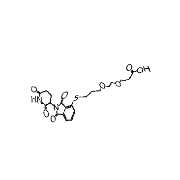 O=C(O)CCOCCOCCCSc1cccc2c1C(=O)N(C1CCC(=O)NC1=O)C2=O